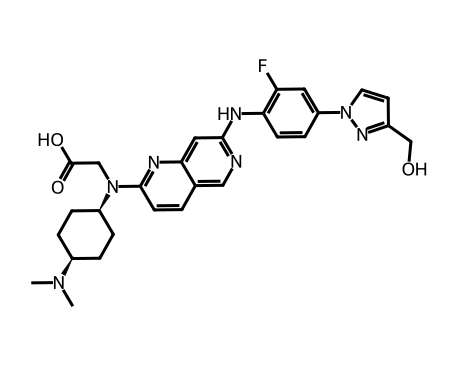 CN(C)[C@H]1CC[C@@H](N(CC(=O)O)c2ccc3cnc(Nc4ccc(-n5ccc(CO)n5)cc4F)cc3n2)CC1